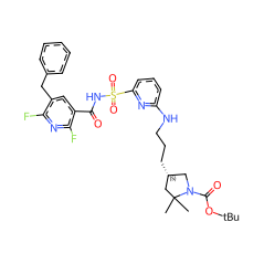 CC(C)(C)OC(=O)N1C[C@@H](CCCNc2cccc(S(=O)(=O)NC(=O)c3cc(Cc4ccccc4)c(F)nc3F)n2)CC1(C)C